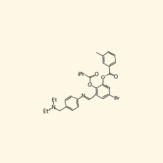 CCN(CC)Cc1ccc(N=Cc2cc(Br)cc(OC(=O)c3cccc(C)c3)c2OC(=O)C(C)C)cc1